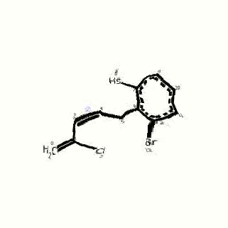 C=C(Cl)/C=C\Cc1c(S)cccc1Br